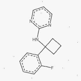 Fc1ccccc1C1(Nc2ncccn2)CCC1